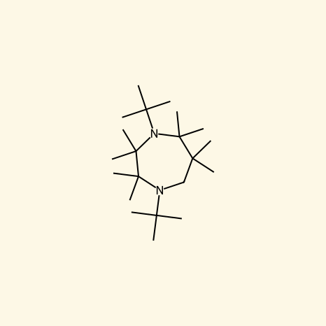 CC(C)(C)N1CC(C)(C)C(C)(C)N(C(C)(C)C)C(C)(C)C1(C)C